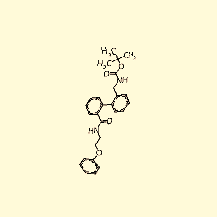 CC(C)(C)OC(=O)NCc1ccccc1-c1ccccc1C(=O)NCCOc1ccccc1